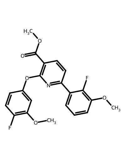 COC(=O)c1ccc(-c2cccc(OC)c2F)nc1Oc1ccc(F)c(OC)c1